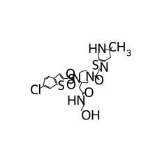 CC1Cc2nc(C(=O)N3CCN(S(=O)(=O)c4cc5ccc(Cl)cc5s4)C(CC(=O)NCCO)C3)sc2CN1